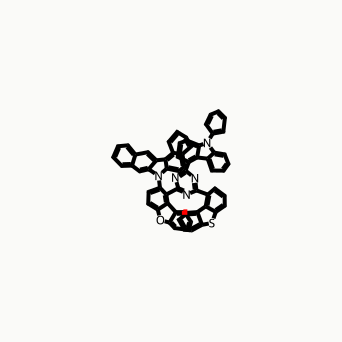 c1ccc(-n2c3ccccc3c3c(-c4nc(-c5c(-n6c7cc8ccccc8cc7c7c8ccccc8ccc76)ccc6oc7ccccc7c56)nc(-c5cccc6sc7ccccc7c56)n4)cccc32)cc1